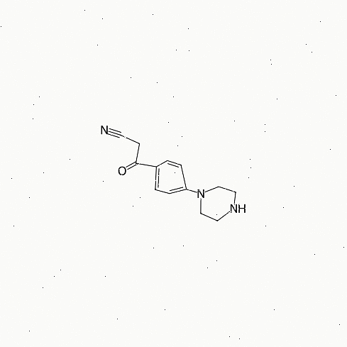 N#CCC(=O)c1ccc(N2CCNCC2)cc1